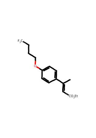 CCOC(=O)/C=C(\C)c1ccc(OCCCC(F)(F)F)cc1